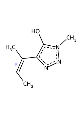 C/C=C(/C)c1nnn(C)c1O